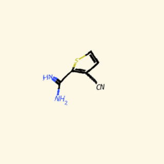 N#Cc1ccsc1C(=N)N